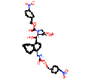 O=C(NCc1ccc(C(O)[C@@H]2C[C@@H](O)CN2C(=O)OCc2ccc([N+](=O)[O-])cc2)c2ccccc12)OCc1ccc([N+](=O)[O-])cc1